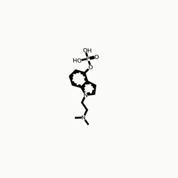 CN(C)CCn1ccc2c(OP(=O)(O)O)cccc21